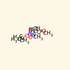 COc1ccc(-c2c(C)c(=O)n(COCC[Si](C)(C)C)c(=O)n2C)c(C)c1